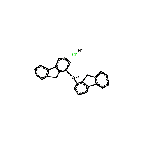 [Cl-].[H-].c1ccc2c(c1)Cc1[c]([Zr+2][c]3cccc4c3Cc3ccccc3-4)cccc1-2